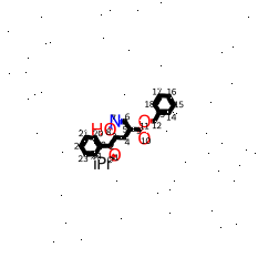 CC(C)OC(CCC(/C=N\O)C(=O)OCc1ccccc1)c1ccccc1